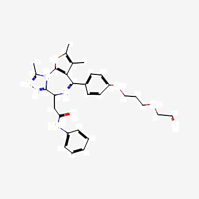 Cc1sc2c(c1C)C(c1ccc(OCCCOCC=O)cc1)=NC(CC(=O)Nc1ccccc1)c1nnc(C)n1-2